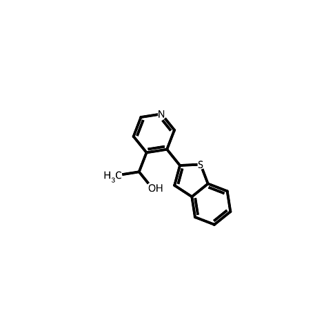 CC(O)c1ccncc1-c1cc2ccccc2s1